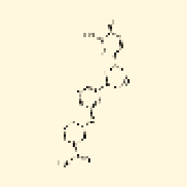 C=C(/C=C\C=C1/COCC(c2cncc(O[C@@H]3CCCN(C(C)=O)C3)c2)O1)C(N)=O